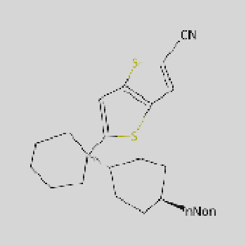 CCCCCCCCC[C@H]1CC[C@H](C2(c3cc4sc(C#N)cc4s3)CCCCC2)CC1